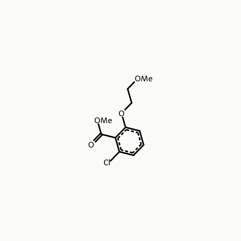 COCCOc1cccc(Cl)c1C(=O)OC